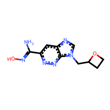 NC(=NO)c1cc2ncn(CC3CCO3)c2nn1